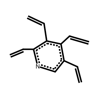 C=Cc1cnc(C=C)c(C=C)c1C=C